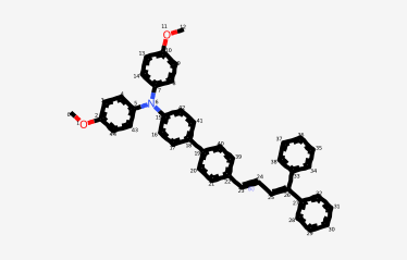 COc1ccc(N(c2ccc(OC)cc2)c2ccc(-c3ccc(/C=C/C=C(c4ccccc4)c4ccccc4)cc3)cc2)cc1